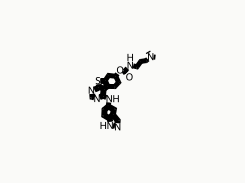 CN(C)CCCNC(=O)OC1CCc2c(sc3ncnc(Nc4ccc5[nH]ncc5c4)c23)C1